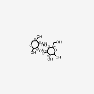 OC1OC[C@@H](O)[C@H](O)[C@H]1O.OC[C@H]1OC(O)[C@H](O)[C@@H](O)[C@@H]1O